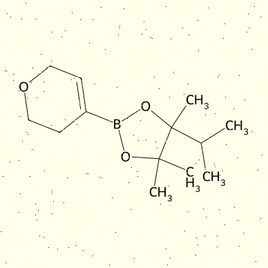 CC(C)C1(C)OB(C2=CCOCC2)OC1(C)C